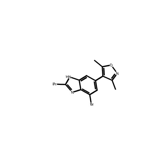 Cc1noc(C)c1-c1cc(Br)c2nc(C(C)C)[nH]c2c1